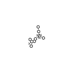 CC1(C)c2ccccc2-c2c1c1ccccc1c1c2ccc2cc(-c3nc(-c4ccccc4)nc(-c4ccc(-c5ccccc5)cc4)n3)ccc21